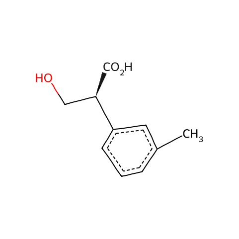 Cc1cccc([C@@H](CO)C(=O)O)c1